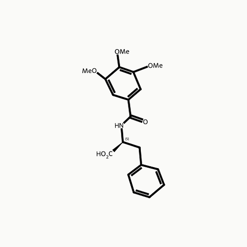 COc1cc(C(=O)N[C@@H](Cc2ccccc2)C(=O)O)cc(OC)c1OC